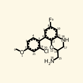 COc1ccc(-c2cc(F)cc3c2OC(CN)CN3)c(Cl)c1